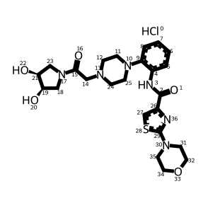 Cl.O=C(Nc1ccccc1N1CCN(CC(=O)N2C[C@@H](O)[C@@H](O)C2)CC1)c1csc(N2CCOCC2)n1